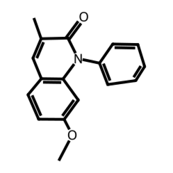 COc1ccc2cc(C)c(=O)n(-c3ccccc3)c2c1